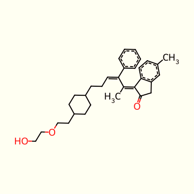 CC(/C(=C\CCC1CCC(CCOCCO)CC1)c1ccccc1)=C1\C(=O)Cc2cc(C)ccc21